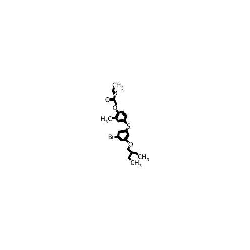 CCOC(=O)COc1ccc(Sc2cc(Br)cc(OCC(CC)CC)c2)cc1C